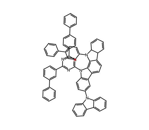 C1=CC2c3ccc4c5cc(-n6c7ccccc7c7ccccc76)ccc5n(-c5nc(-c6ccc(-c7ccccc7)cc6)nc(-c6cccc(-c7ccccc7)c6)n5)c4c3N(c3ccc(-c4ccccc4)cc3)C2C=C1